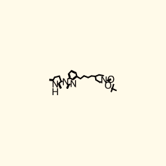 C=C1CCC(N2C(=C)N(C)c3c(CCCCC4CCN(C(=O)OC(C)(C)C)CC4)cccc32)C(=C)N1